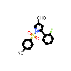 N#Cc1ccc(S(=O)(=O)n2cc(C=O)cc2-c2ccccc2F)cc1